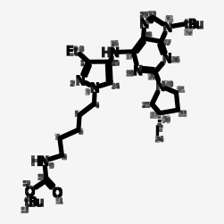 CCc1nn(CCCCCNC(=O)OC(C)(C)C)cc1Nc1nc(N2CC[C@H](F)C2)nc2c1ncn2C(C)(C)C